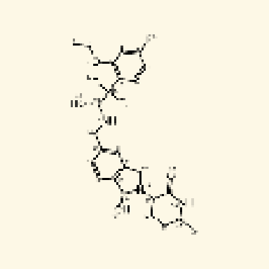 CCOc1cc(F)ccc1C(F)(F)[C@@H](O)NCc1ccc2c(c1)CN(C1CCC(C)NC1=O)[C@H]2O